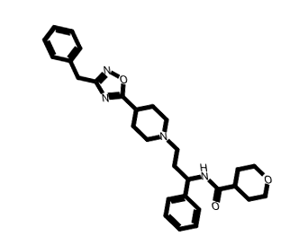 O=C(NC(CCN1CCC(c2nc(Cc3ccccc3)no2)CC1)c1ccccc1)C1CCOCC1